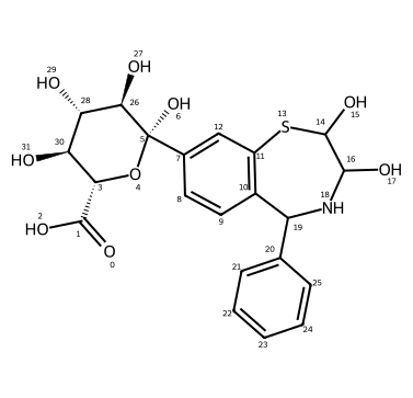 O=C(O)[C@H]1O[C@](O)(c2ccc3c(c2)SC(O)C(O)NC3c2ccccc2)[C@H](O)[C@@H](O)[C@@H]1O